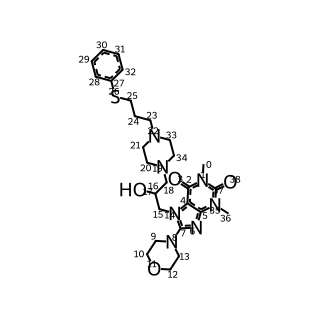 Cn1c(=O)c2c(nc(N3CCOCC3)n2CC(O)CN2CCN(CCCSc3ccccc3)CC2)n(C)c1=O